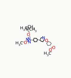 CCOc1nc(-c2ccc(-c3ccc(O[C@H]4CC[C@@H](C(=O)OCC)CC4)nc3)cc2)n(COCC[Si](C)(C)C)n1